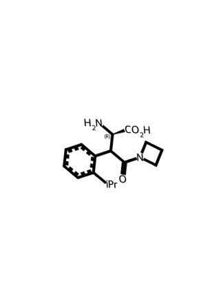 CC(C)c1ccccc1C(C(=O)N1CCC1)[C@@H](N)C(=O)O